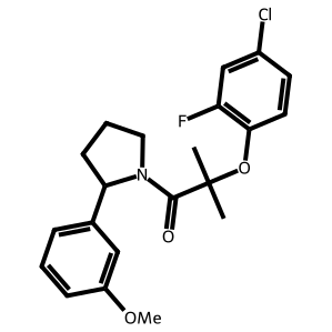 COc1cccc(C2CCCN2C(=O)C(C)(C)Oc2ccc(Cl)cc2F)c1